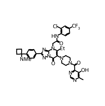 CCc1c(N2CCN(C(=O)c3ncnc(C)c3O)CC2)c(=O)n2nc(-c3ccc(C4(NC)CCC4)cc3)nc2n1CC(=O)Nc1ccc(C(F)(F)F)cc1Cl